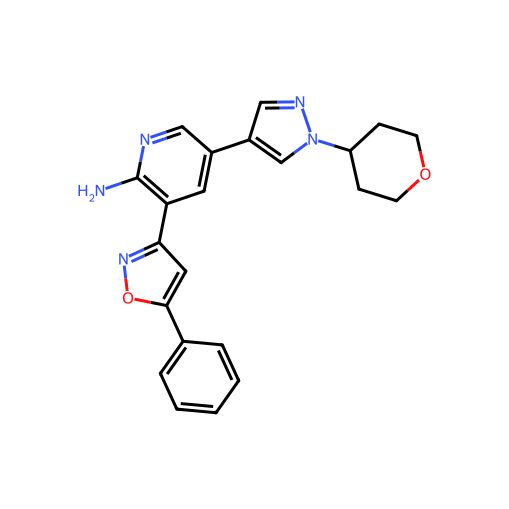 Nc1ncc(-c2cnn(C3CCOCC3)c2)cc1-c1cc(-c2ccccc2)on1